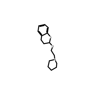 c1ccc2c(c1)CCC(OCCN1CCCCC1)S2